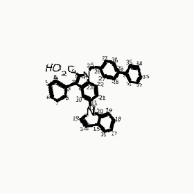 O=C(O)c1c(-c2ccccc2)c2cc(-n3ccc4ccccc43)ccc2n1Cc1ccc(-c2ccccc2)cc1